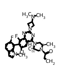 C=CC(=O)N1C[C@H](C)N(c2nc(N3CC(N(C)C)C3)nc3c(F)c(-c4c(F)ccc5ccn(C)c45)c(Cl)cc23)C[C@H]1C